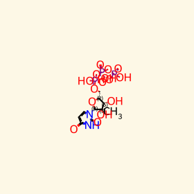 C[C@]1(O)[C@@H](O)[C@@H](COP(=O)(O)OP(=O)(O)OP(=O)(O)O)O[C@H]1n1ccc(=O)[nH]c1=O